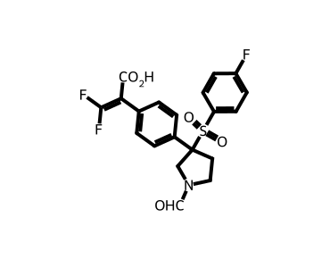 O=CN1CCC(c2ccc(C(C(=O)O)=C(F)F)cc2)(S(=O)(=O)c2ccc(F)cc2)C1